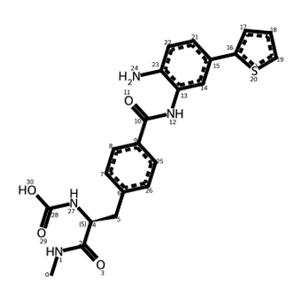 CNC(=O)[C@H](Cc1ccc(C(=O)Nc2cc(-c3cccs3)ccc2N)cc1)NC(=O)O